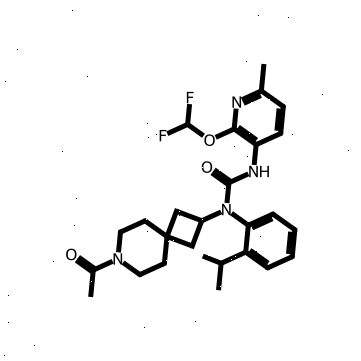 CC(=O)N1CCC2(CC1)CC(N(C(=O)Nc1ccc(C)nc1OC(F)F)c1ccccc1C(C)C)C2